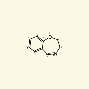 [C]1=NCCOc2ccccc21